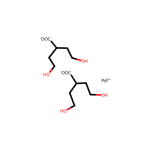 O=C([O-])C(CCO)CCO.O=C([O-])C(CCO)CCO.[Pd+2]